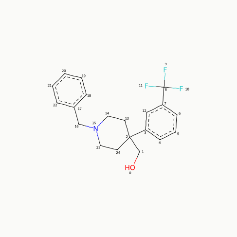 OCC1(c2cccc(C(F)(F)F)c2)CCN(Cc2ccccc2)CC1